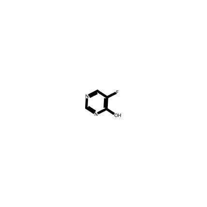 Oc1ncn[c]c1F